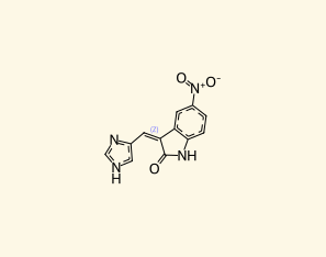 O=C1Nc2ccc([N+](=O)[O-])cc2/C1=C/c1c[nH]cn1